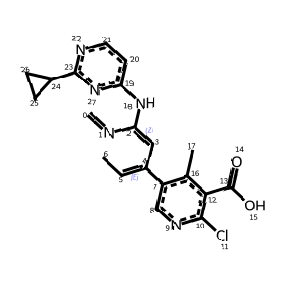 C=N/C(=C\C(=C/C)c1cnc(Cl)c(C(=O)O)c1C)Nc1ccnc(C2CC2)n1